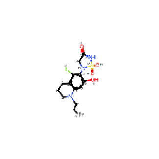 CC(C)CCN1CCCc2c1cc(O)c(N1CC(=O)NS1(=O)=O)c2F